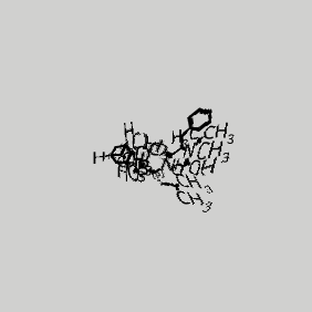 CC(C)C[C@@H](NC(=O)C(Cc1ccccc1)N(C(=O)O)C(C)(C)C)B1O[C@H]2C[C@@H]3C[C@@H](C3(C)C)[C@]2(C)O1